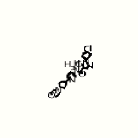 Cc1c(C(=O)Nc2ccc(C3=CCC(N4CCOCC4)CC3)nc2)cnn1-c1ccc(Cl)cc1